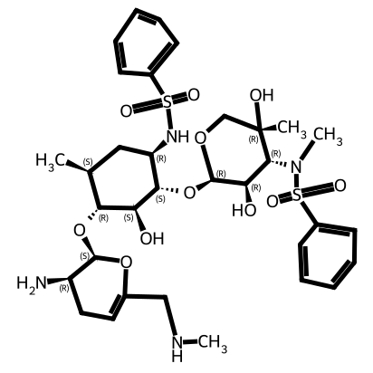 CNCC1=CC[C@@H](N)[C@@H](O[C@H]2[C@H](O)[C@@H](O[C@H]3OC[C@](C)(O)[C@H](N(C)S(=O)(=O)c4ccccc4)[C@H]3O)[C@H](NS(=O)(=O)c3ccccc3)C[C@@H]2C)O1